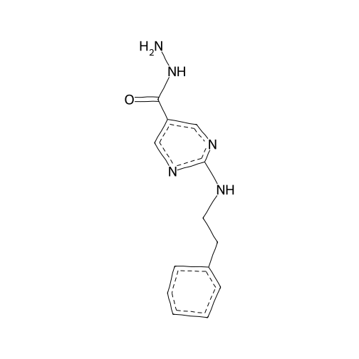 NNC(=O)c1cnc(NCCc2ccccc2)nc1